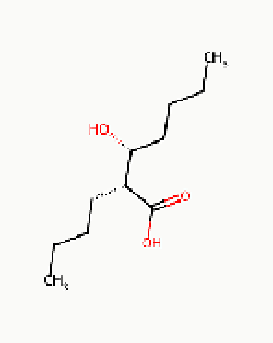 CCCC[C@@H](O)[C@@H](CCCC)C(=O)O